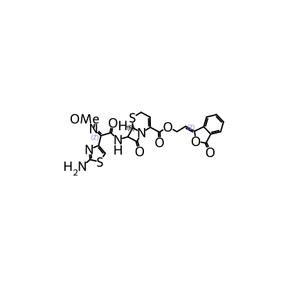 CO/N=C(\C(=O)NC1C(=O)N2C(C(=O)OC/C=C3\OC(=O)c4ccccc43)=CCS[C@H]12)c1csc(N)n1